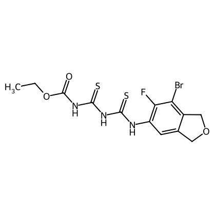 CCOC(=O)NC(=S)NC(=S)Nc1cc2c(c(Br)c1F)COC2